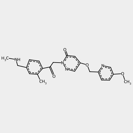 CNCc1ccc(C(=O)Cn2ncc(OCc3ccc(OC)cn3)cc2=O)c(C)c1